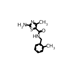 Cc1ccccc1CNC(=O)c1sc(N)nc1C